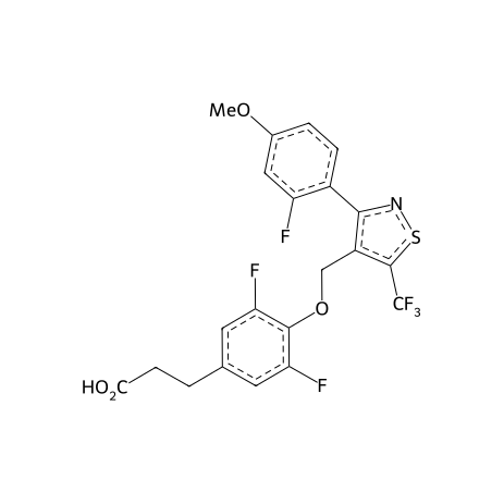 COc1ccc(-c2nsc(C(F)(F)F)c2COc2c(F)cc(CCC(=O)O)cc2F)c(F)c1